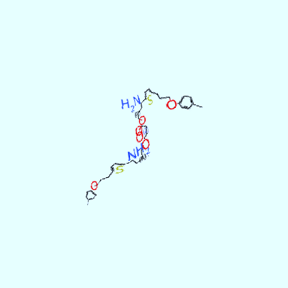 Cc1ccc(OCCCc2ccc(C(N)C[C@@H](C)COC(=O)/C=C\C(=O)OC[C@H](C)CC(N)c3ccc(CCCOc4ccc(C)cc4)s3)s2)cc1